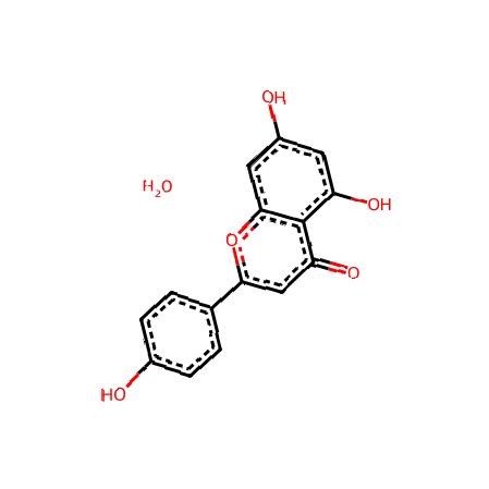 O.O=c1cc(-c2ccc(O)cc2)oc2cc(O)cc(O)c12